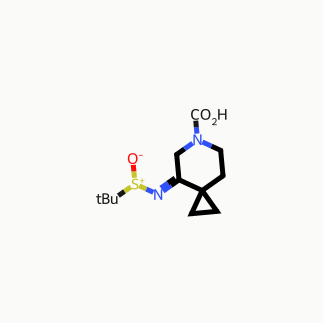 CC(C)(C)[S+]([O-])/N=C1\CN(C(=O)O)CCC12CC2